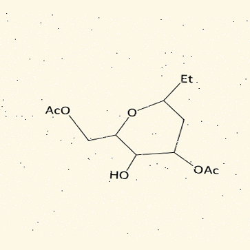 CCC1CC(OC(C)=O)C(O)C(COC(C)=O)O1